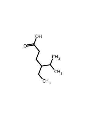 CCC(CCC(=O)O)C(C)C